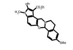 CCCc1c(C(=O)OCC)c2c3c(ccc2n1C)OC1c2ccc(SC)cc2CCN1C3